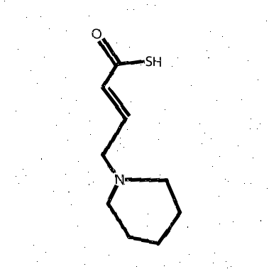 O=C(S)/C=C/CN1CCCCC1